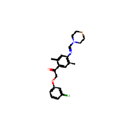 Cc1cc(C(=O)COc2cccc(Cl)c2)c(C)cc1N=CN1CCSCC1